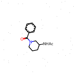 CC(=O)NC1CCCN(C(=O)c2ccccc2)C1